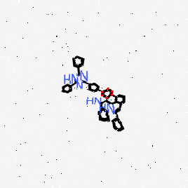 N=C(/C(=C1\NC(c2ccccc2)=Cc2cccc(-c3ccc(-c4ccc(C5=NC(c6ccccc6)NC(c6ccccc6)=N5)cc4)cc3)c21)c1ccccc1)c1ccccc1